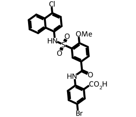 COc1ccc(C(=O)Nc2ccc(Br)cc2C(=O)O)cc1S(=O)(=O)Nc1ccc(Cl)c2ccccc12